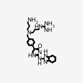 N=C(N)NCCCN(CCCN)Cc1ccc(-c2c[nH]c(Nc3nc4ccccc4[nH]3)nc2=O)cc1